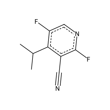 CC(C)c1c(F)cnc(F)c1C#N